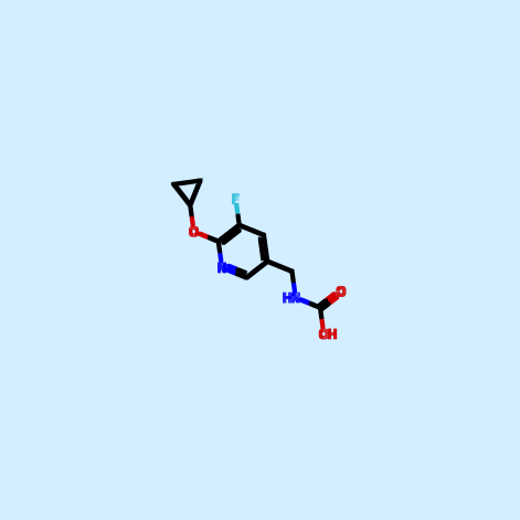 O=C(O)NCc1cnc(OC2CC2)c(F)c1